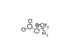 CC(C)c1cc[c]c(-c2cc(Cl)cc(Cl)c2)c1Br